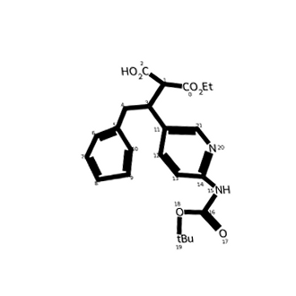 CCOC(=O)C(C(=O)O)C(Cc1ccccc1)c1ccc(NC(=O)OC(C)(C)C)nc1